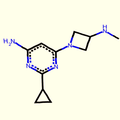 CNC1CN(c2cc(N)nc(C3CC3)n2)C1